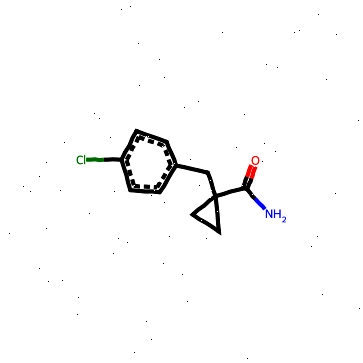 NC(=O)C1(Cc2ccc(Cl)cc2)CC1